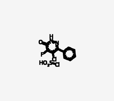 O=S(=O)(O)Cl.O=c1[nH]nc(-c2ccccc2)c(Cl)c1F